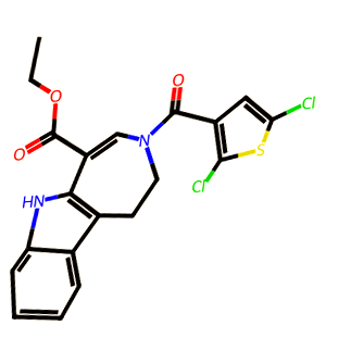 CCOC(=O)C1=CN(C(=O)c2cc(Cl)sc2Cl)CCc2c1[nH]c1ccccc21